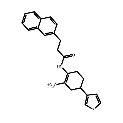 O=C(CCc1ccc2ccccc2c1)NC1=C(C(=O)O)CC(c2ccsc2)CC1